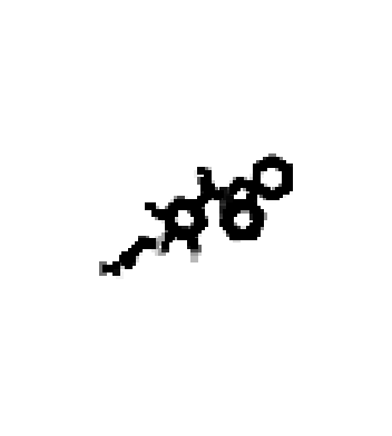 C#CCOc1c(F)cc(C(=O)NCC2(c3ccccc3)CCCCC2)cc1F